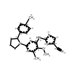 COc1c(C)nc(N2CCCC2c2ccc(C)cc2)nc1Nc1ncc(C#N)s1